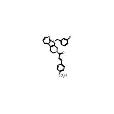 O=C(O)c1ccc(C=CC(=O)N2CCc3c(n(Cc4cccc(F)c4)c4ncccc34)C2)cc1